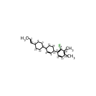 C/C=C/C1CCC(C2C=CC(c3ccc(C)c(C)c3F)CC2)CC1